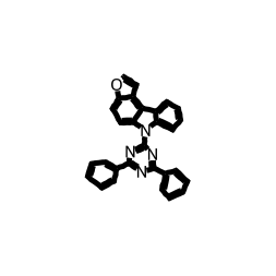 c1ccc(-c2nc(-c3ccccc3)nc(-n3c4ccccc4c4c5ccoc5ccc43)n2)cc1